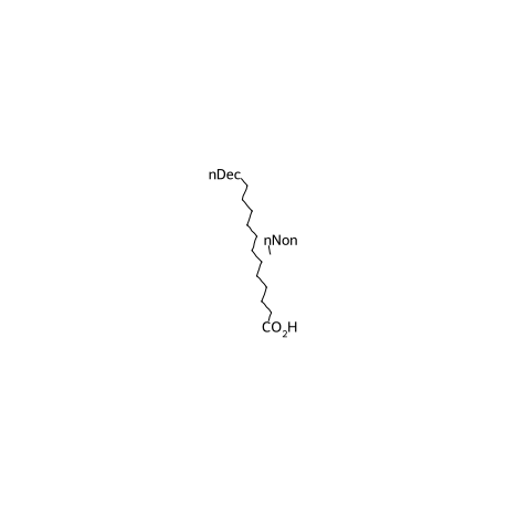 CCCCCCCCCC.CCCCCCCCCCCCCCCCCCCCCC(=O)O